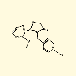 CCOc1ccccc1C1OCC(=O)N1Cc1ccc(OC)cc1